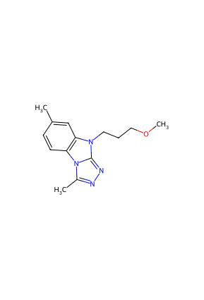 COCCCn1c2cc(C)ccc2n2c(C)nnc12